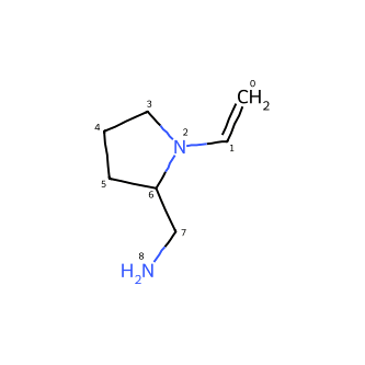 C=CN1CCCC1CN